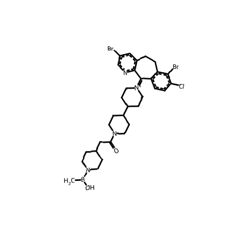 CB(O)N1CCC(CC(=O)N2CCC(C3CC[N+](=C4c5ccc(Cl)c(Br)c5CCc5cc(Br)cnc54)CC3)CC2)CC1